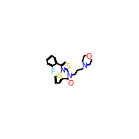 O=C(c1cccs1)N(CCCN1CCOCC1)c1nc(-c2ccccc2F)cs1